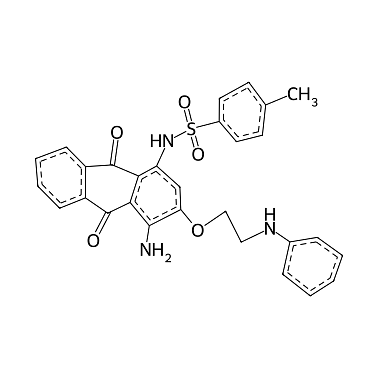 Cc1ccc(S(=O)(=O)Nc2cc(OCCNc3ccccc3)c(N)c3c2C(=O)c2ccccc2C3=O)cc1